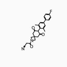 Cc1cc(-c2ccc(F)cc2)cc(C)c1C1C(=O)CC2(CC1=O)CN(C(=O)CC#N)C2